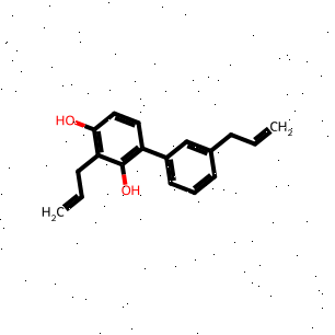 C=CCc1cccc(-c2ccc(O)c(CC=C)c2O)c1